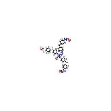 O=C=Cc1ccc(Cc2ccc(N3C(=O)N(c4ccc(Cc5ccc(N=C=O)cc5)cc4)/C3=N/c3ccc(Cc4ccc(N=C=O)cc4)cc3)cc2)cc1